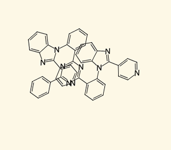 c1ccc(-c2nc(-c3ccccc3-n3c(-c4ccncc4)nc4ccccc43)nc(-c3ccccc3-n3c(-c4ccncc4)nc4ccccc43)n2)cc1